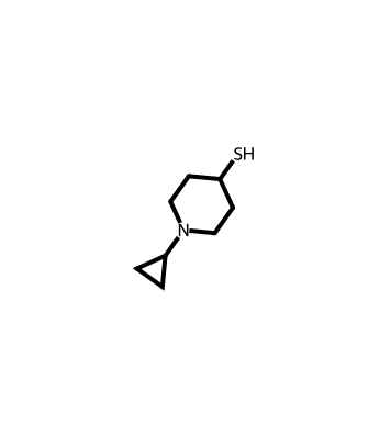 SC1CCN(C2CC2)CC1